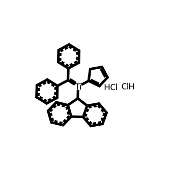 C1=CC[C]([Ti](=[C](c2ccccc2)c2ccccc2)[CH]2c3ccccc3-c3ccccc32)=C1.Cl.Cl